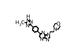 Cc1nc(-c2ccc(-c3cnc4ncn(CCN5CCOCC5)c4n3)cc2)n[nH]1